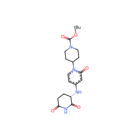 CC(C)(C)OC(=O)N1CCC(n2ccc(N[C@H]3CCC(=O)NC3=O)cc2=O)CC1